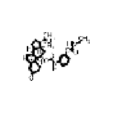 CCNC(=O)Oc1cccc(NC(=O)O[C@H]2C[C@]3(C)[C@@H](C(C)=O)CC[C@H]3[C@@H]3C=CC4=CC(=O)CC[C@@]4(C)[C@@H]32)c1